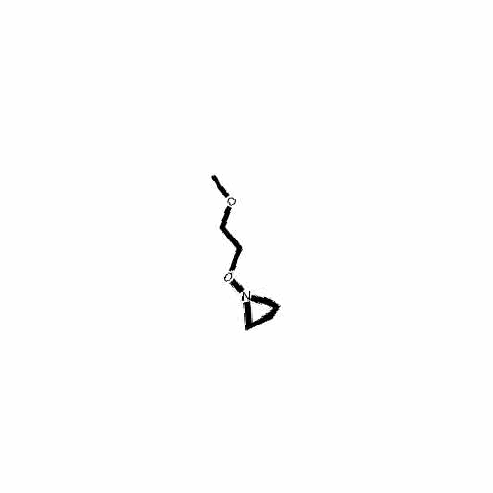 COCCON1CC1